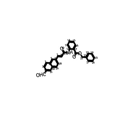 O=Cc1ccc2cc(/C=C/C(=O)Nc3ccccc3C(=O)OCc3ccccc3)ccc2c1